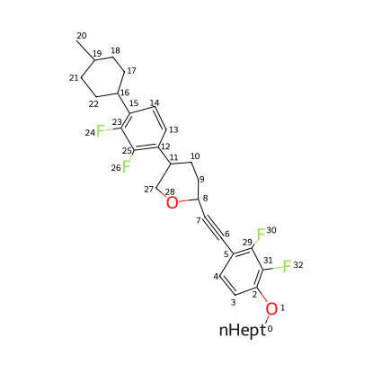 CCCCCCCOc1ccc(C#CC2CCC(c3ccc(C4CCC(C)CC4)c(F)c3F)CO2)c(F)c1F